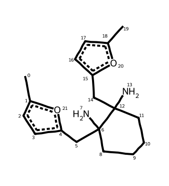 Cc1ccc(CC2(N)CCCCC2(N)Cc2ccc(C)o2)o1